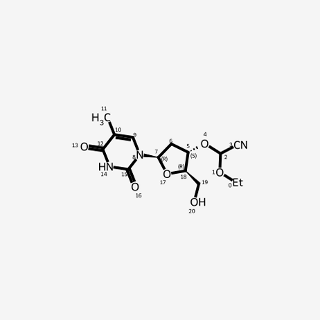 CCOC(C#N)O[C@H]1C[C@H](n2cc(C)c(=O)[nH]c2=O)O[C@@H]1CO